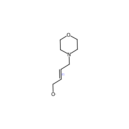 [O]C/C=C/CN1CCOCC1